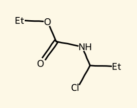 CCOC(=O)NC(Cl)CC